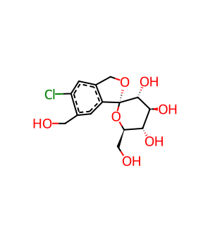 OCc1cc2c(cc1Cl)CO[C@]21O[C@H](CO)[C@@H](O)[C@H](O)[C@H]1O